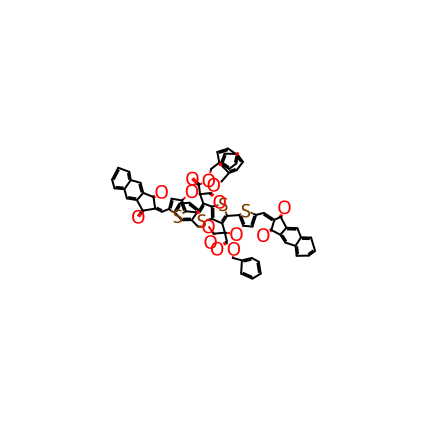 O=C1C(=Cc2cc3c(s2)-c2sc4c5c(sc4c2C(C(=O)OCc2ccccc2)(C(=O)OCc2ccccc2)O3)-c2sc(C=C3C(=O)c4cc6ccccc6cc4C3=O)cc2OC5(C(=O)OCc2ccccc2)C(=O)OCc2ccccc2)C(=O)c2cc3ccccc3cc21